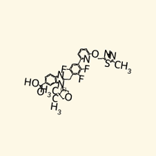 Cc1nnc(COc2cccc(-c3cc(F)c(Cc4nc5ccc(C(=O)O)cc5n4[C@@H]4COCC4(C)C)c(F)c3F)n2)s1